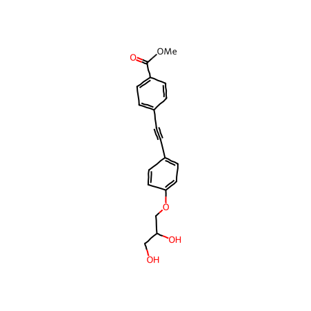 COC(=O)c1ccc(C#Cc2ccc(OCC(O)CO)cc2)cc1